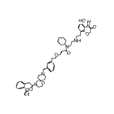 CCOc1ccccc1CC(=O)N1CCOC2(CCN(Cc3cccc(CCOCCC(=O)N(CCNCCc4ccc(O)c5c4OCC(=O)N5)C4CCCCC4)c3)CC2)C1